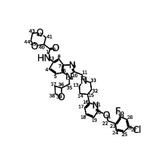 O=C(Nc1ccc2c(c1)nc(CN1CCC(c3cccc(OCc4ccc(Cl)cc4F)n3)CC1)n2CC1CCO1)C1COCCO1